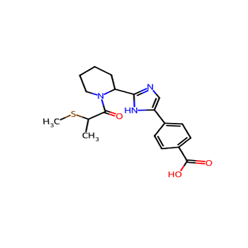 CSC(C)C(=O)N1CCCCC1c1ncc(-c2ccc(C(=O)O)cc2)[nH]1